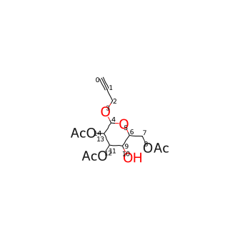 C#CCOC1OC(COC(C)=O)C(O)C(OC(C)=O)C1OC(C)=O